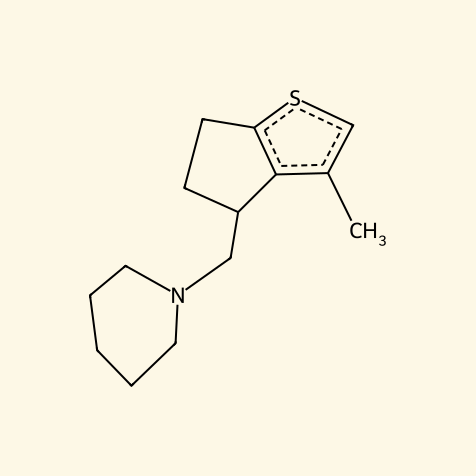 Cc1csc2c1C(CN1CCCCC1)CC2